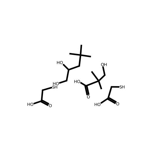 CC(C)(C)CC(O)CO.CC(C)(CO)C(=O)O.O=C(O)CS.O=C(O)CS